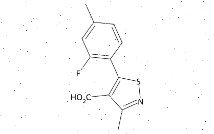 Cc1ccc(-c2snc(C)c2C(=O)O)c(F)c1